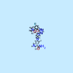 CC(C)C(CCCN(C)[C@@H](C)CC(N)=O)N1CC2(CCN(c3ncnnc3Oc3ccc(F)cc3C(=O)N(C(C)C)C(C)C)C2)C1